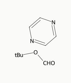 CC(C)(C)OC=O.c1cnccn1